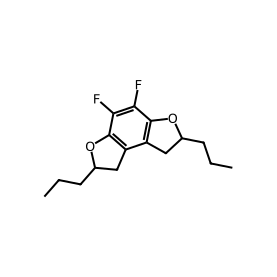 CCCC1Cc2c3c(c(F)c(F)c2O1)OC(CCC)C3